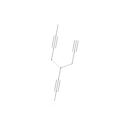 C#CC[C](C#CCC)CC#CC